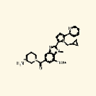 COc1cc(C(=O)N2CCC[C@@H](N)C2)cc2nc(-c3ccc(-c4ccccn4)n3CC3CC3)n(C)c12